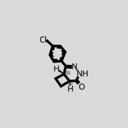 O=C1NN=C(c2ccc(Cl)cc2)[C@H]2CC[C@H]12